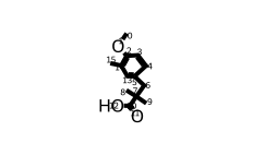 COc1ccc(CC(C)(C)C(=O)O)cc1C